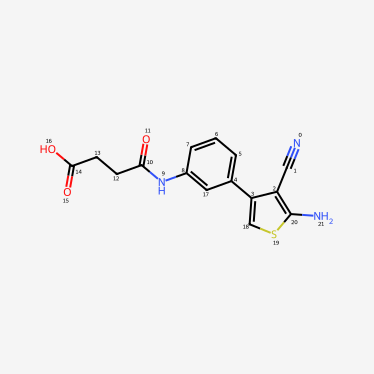 N#Cc1c(-c2cccc(NC(=O)CCC(=O)O)c2)csc1N